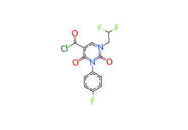 O=C(Cl)c1cn(CC(F)F)c(=O)n(-c2ccc(F)cc2)c1=O